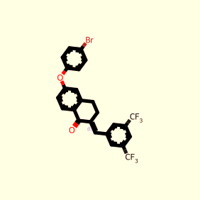 O=C1/C(=C/c2cc(C(F)(F)F)cc(C(F)(F)F)c2)CCc2cc(Oc3ccc(Br)cc3)ccc21